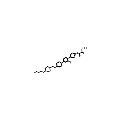 C=C(CO)C(=O)Oc1ccc(-c2ccc(-c3ccc(CCC4CCC(CCCCC)CC4)cc3)cc2F)cc1